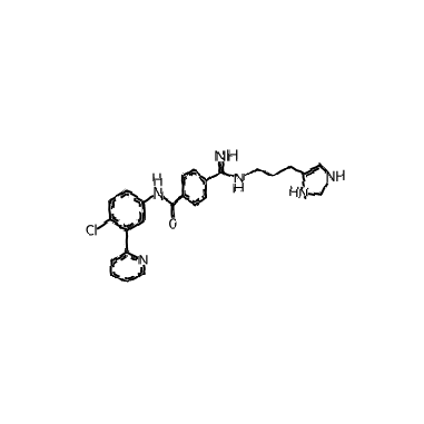 N=C(NCCCC1=CNCN1)c1ccc(C(=O)Nc2ccc(Cl)c(-c3ccccn3)c2)cc1